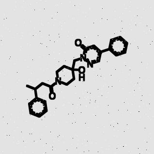 CC(CC(=O)N1CCC(O)(Cn2ncc(-c3ccccc3)cc2=O)CC1)c1ccccc1